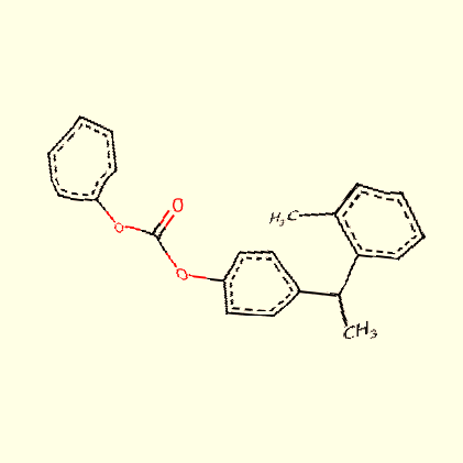 Cc1ccccc1C(C)c1ccc(OC(=O)Oc2ccccc2)cc1